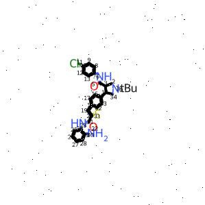 CC(C)(C)N1CC(C(=O)Nc2ccc(Cl)cc2)C(c2ccc3cc(C(=O)Nc4ccccc4N)sc3c2)C1